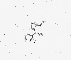 C[C@H](c1ccccc1)n1nccc1C=O